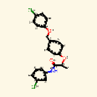 CC(Oc1ccc(COc2ccc(Cl)cc2)cc1)C(=O)Nc1cccc(Cl)c1